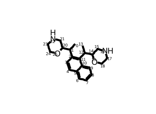 CC(c1ccc2ccccc2c1C(C)C1CNCCO1)C1CNCCO1